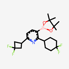 CC1(C)OB(c2ccc(C3CC(F)(F)C3)nc2C2CCC(F)(F)CC2)OC1(C)C